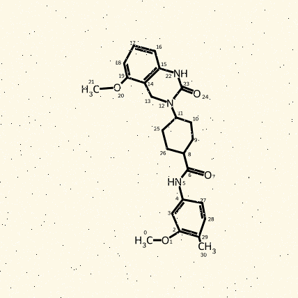 COc1cc(NC(=O)C2CCC(N3Cc4c(cccc4OC)NC3=O)CC2)ccc1C